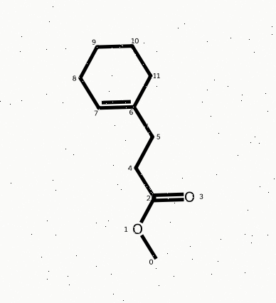 COC(=O)CCC1=CCCCC1